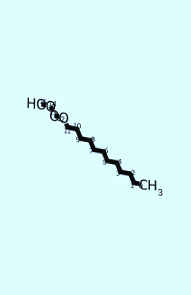 CCCCCCCCCCCCOOOO